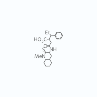 CCC(c1ccccc1)C(CC(=O)NC(CC1CCCCC1)C(=S)NC)C(=O)O